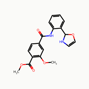 COC(=O)c1ccc(C(=O)Nc2ccccc2C2NC=CO2)cc1OC